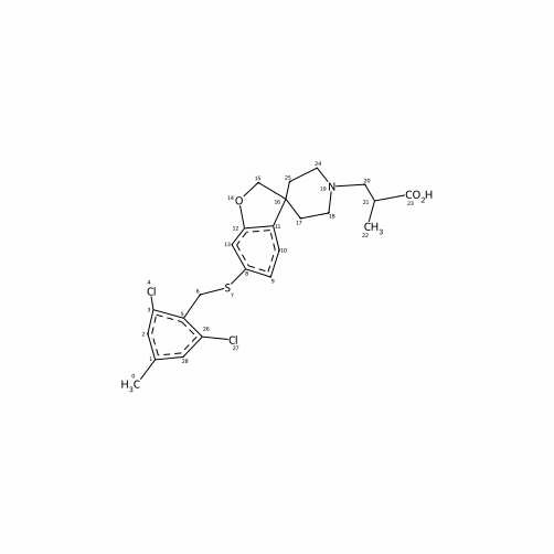 Cc1cc(Cl)c(CSc2ccc3c(c2)OCC32CCN(CC(C)C(=O)O)CC2)c(Cl)c1